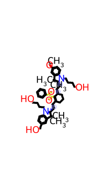 COc1ccc2c(c1)C(C)(C)/C(=C\C=C1/CCCC(/C=C/C3=[N+](CCCCO)c4ccc(CO)cc4C3(C)C)=C1S(=O)(=O)c1ccccc1)N2CCCCO